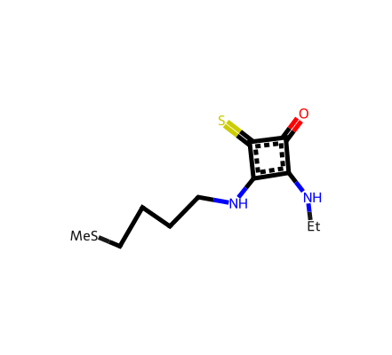 CCNc1c(NCCCCSC)c(=S)c1=O